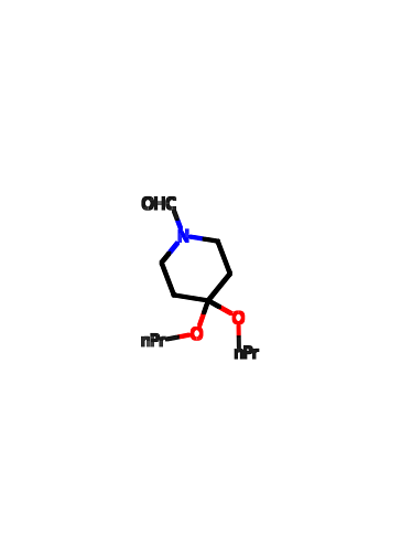 CCCOC1(OCCC)CCN(C=O)CC1